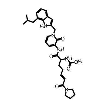 CC(C)Cc1cccc2cc(Cn3cccc(NC(=O)C(CCC=CC(=O)N4CCCC4)NC(=O)O)c3=O)[nH]c12